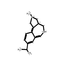 CC(C)c1ccc2c(c1)=CNCC1CN(C)CC=21